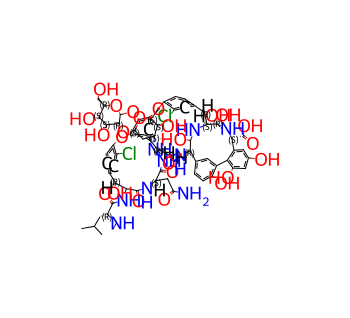 CN[C@H](CC(C)C)C(=O)NC1C(=O)N[C@@H](CC(N)=O)C(=O)N[C@H]2C(=O)N[C@@H]3c4ccc(O)c(c4)-c4c(O)cc(O)cc4[C@@H](C(=O)O)N[C@H](O)[C@@H](NC3O)[C@H](O)c3ccc(c(Cl)c3)Oc3cc2cc(c3OC2O[C@H](CO)[C@@H](O)[C@H](O)[C@H]2O[C@H]2C[C@](C)(N)[C@H](O)[C@H](C)O2)Oc2ccc(cc2Cl)[C@H]1O